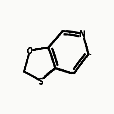 [c]1cc2c(cn1)OCS2